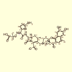 C[C@@H]1S[C@@H]2[C@H](NC(=O)/C(=N\OC(C)(C)C(=O)O)c3csc(N)n3)C(=O)N2C(C(=O)[O-])=C1C[N+]12CCC(CC1)N(C(=O)c1cn(C)c3cc(O)c(O)cc3c1=O)CC2